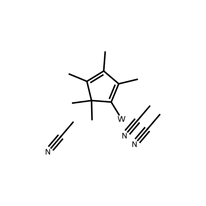 CC#N.CC#N.CC#N.CC1=C(C)C(C)(C)[C]([W])=C1C